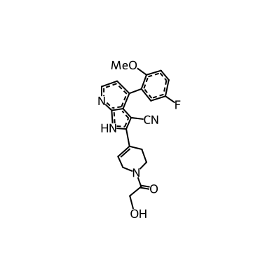 COc1ccc(F)cc1-c1ccnc2[nH]c(C3=CCN(C(=O)CO)CC3)c(C#N)c12